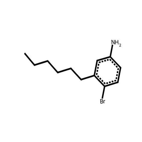 CCCCCCc1cc(N)ccc1Br